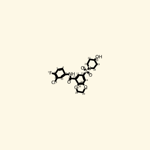 O=C(Nc1ccc(F)c(Cl)c1)c1cc(S(=O)(=O)N2CCC(O)CC2)cc2c1OCCO2